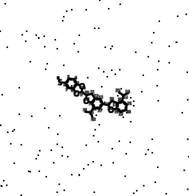 CSc1ccc2c(c1)OC(C1Cc3cc(C4Cc5c(cccc5C(C)C)O4)cc(C(C)C)c3O1)O2